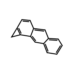 c1ccc2cc3c4c(ccc3cc2c1)C4